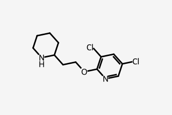 Clc1cnc(OCCC2CCCCN2)c(Cl)c1